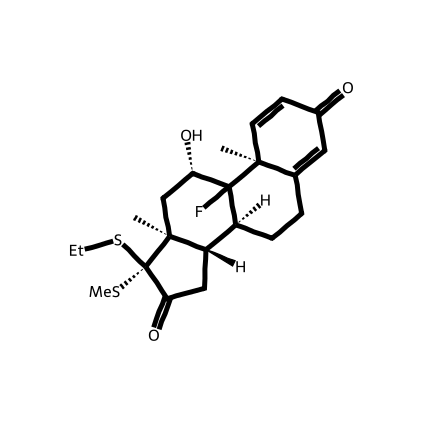 CCS[C@]1(SC)C(=O)C[C@H]2[C@@H]3CCC4=CC(=O)C=C[C@]4(C)C3(F)[C@@H](O)C[C@@]21C